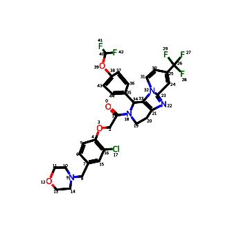 O=C(COc1ccc(CN2CCOCC2)cc1Cl)N1CCc2nc3cc(C(F)(F)F)ccn3c2C1c1ccc(OC(F)F)cc1